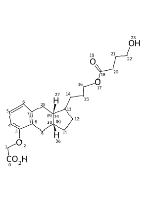 O=C(O)COc1cccc2c1C[C@H]1CCC(CCCOC(=O)CCCO)[C@H]1C2